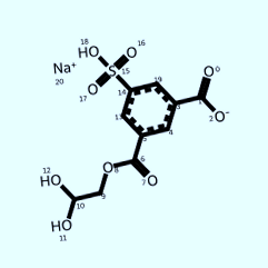 O=C([O-])c1cc(C(=O)OCC(O)O)cc(S(=O)(=O)O)c1.[Na+]